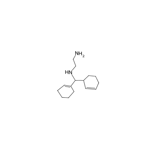 NCCNC(C1=CCCCC1)C1C=CCCC1